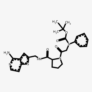 CC(C)(C)OC(=O)N(CC(=O)N1CCCC1C(=O)NCc1cc2c(N)nccc2s1)c1ccccc1